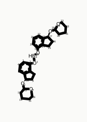 B(Oc1cccc2c1CC[C@@H]2OC1CCCCO1)Oc1cccc2c1CC[C@@H]2OC1CCCCO1